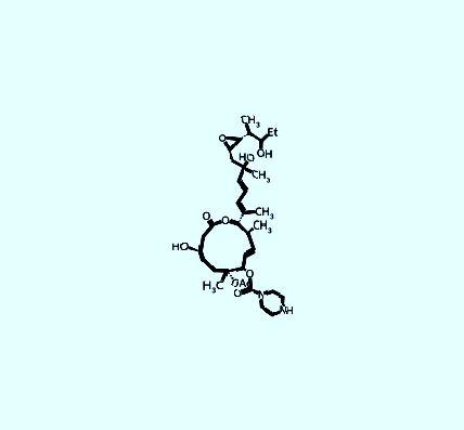 CCC(O)C(C)[C@H]1O[C@@H]1CC(C)(O)/C=C/C=C(\C)[C@H]1OC(=O)C[C@H](O)CC[C@@](C)(OC(C)=O)[C@@H](OC(=O)N2CCNCC2)/C=C/[C@@H]1C